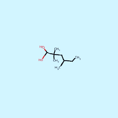 CCC(C)CC(C)(C)C(O)O